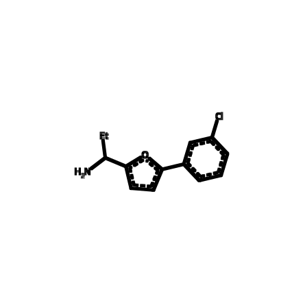 CCC(N)c1ccc(-c2cccc(Cl)c2)o1